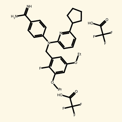 CCOc1cc(CN(c2ccc(C(=N)N)cc2)c2cccc(C3CCCC3)n2)c(F)c(OC(C)C)c1.O=C(O)C(F)(F)F.O=C(O)C(F)(F)F